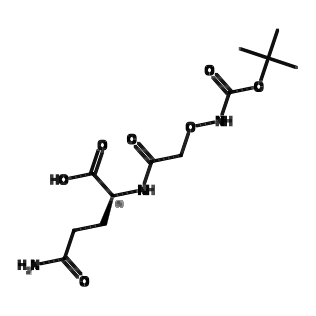 CC(C)(C)OC(=O)NOCC(=O)N[C@@H](CCC(N)=O)C(=O)O